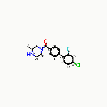 C[C@H]1CN(C(=O)c2ccc(-c3ccc(Cl)cc3F)cc2)CCN1